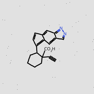 C#CC1(C(=O)O)CCCCC1C1=c2cc3c(cc2C=C1)=NN=C3